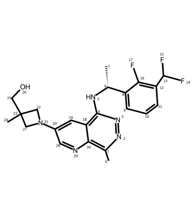 Cc1nnc(N[C@H](C)c2cccc(C(F)F)c2F)c2cc(N3CC(C)(CO)C3)cnc12